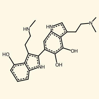 CNCCc1c(-c2cc3[nH]cc(CCN(C)C)c3c(O)c2O)[nH]c2cccc(O)c12